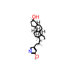 COc1cncc(C[C@@H](C)[C@H]2CC[C@H]3[C@@H]4CC[C@@H]5C[C@](C)(O)CC[C@@H]5[C@H]4CC[C@]23C)c1